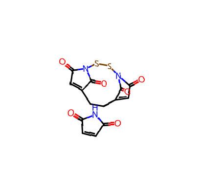 O=C1C=C2CCC3=CC(=O)N(SSN1C2=O)C3=O.O=C1C=CC(=O)N1